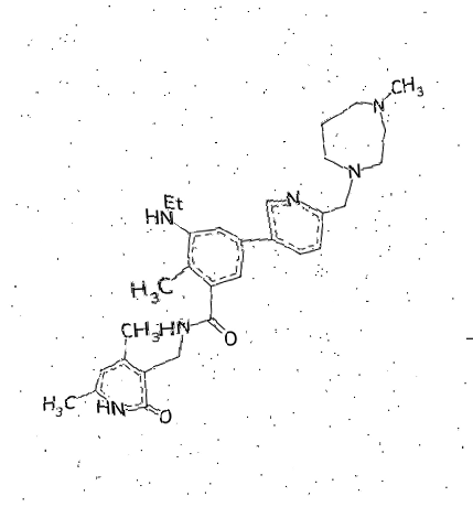 CCNc1cc(-c2ccc(CN3CCCN(C)CC3)nc2)cc(C(=O)NCc2c(C)cc(C)[nH]c2=O)c1C